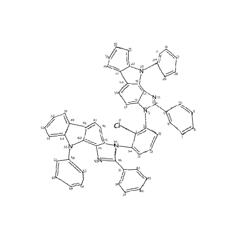 Clc1c(-n2c(-c3ccccc3)nc3c2ccc2c4ccccc4n(-c4ccccc4)c23)cccc1-n1c(-c2ccccc2)nc2c1ccc1c3ccccc3n(-c3ccccc3)c12